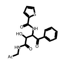 CC(=O)CNC(=O)C(O)C(NC(=O)c1cccs1)C(=O)c1ccccc1